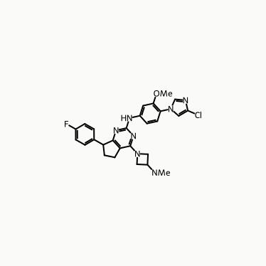 CNC1CN(c2nc(Nc3ccc(-n4cnc(Cl)c4)c(OC)c3)nc3c2CCC3c2ccc(F)cc2)C1